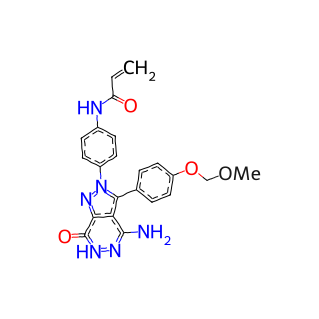 C=CC(=O)Nc1ccc(-n2nc3c(=O)[nH]nc(N)c3c2-c2ccc(OCOC)cc2)cc1